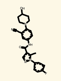 Cc1c(C(=O)Nc2ccc(N3CCC(O)CC3)c(C#N)c2)cnn1-c1ccc(F)cc1